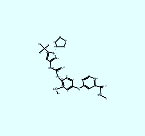 CNC(=O)c1cc(Oc2cnc(NC(=S)Nc3cc(C(C)(C)C)n([C@@H]4CCOC4)n3)c(NC)c2)ccn1